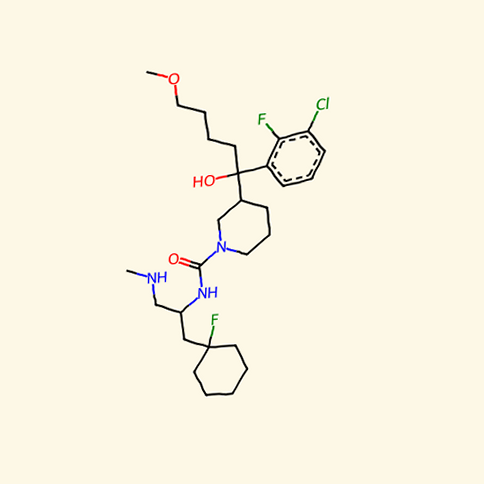 CNCC(CC1(F)CCCCC1)NC(=O)N1CCCC(C(O)(CCCCOC)c2cccc(Cl)c2F)C1